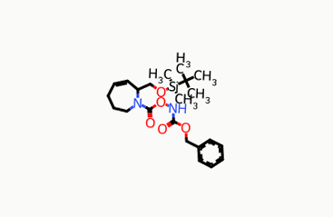 CC(C)(C)[Si](C)(C)OCC1C=CCCCN1C(=O)ONC(=O)OCc1ccccc1